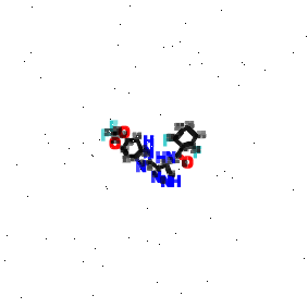 O=C(Nc1c[nH]nc1-c1nc2cc3c(cc2[nH]1)OC(F)(F)O3)c1c(F)cccc1F